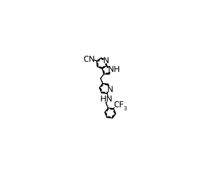 [C-]#[N+]c1cnc2[nH]cc(Cc3ccc(NCc4ccccc4C(F)(F)F)nc3)c2c1